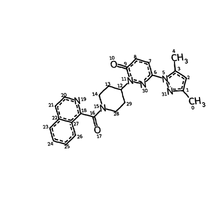 Cc1cc(C)n(-c2ccc(=O)n(C3CCN(C(=O)c4nccc5ccccc45)CC3)n2)n1